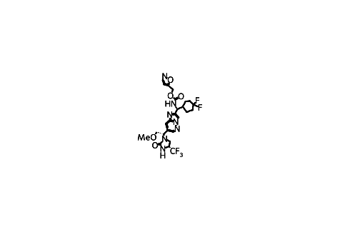 COC[C@H](c1cnn2cc([C@@H](NC(=O)OCc3ccno3)C3CCC(F)(F)CC3)nc2c1)N1C[C@@H](C(F)(F)F)NC1=O